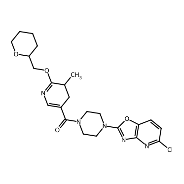 CC1CC(C(=O)N2CCN(c3nc4nc(Cl)ccc4o3)CC2)=CN=C1OCC1CCCCO1